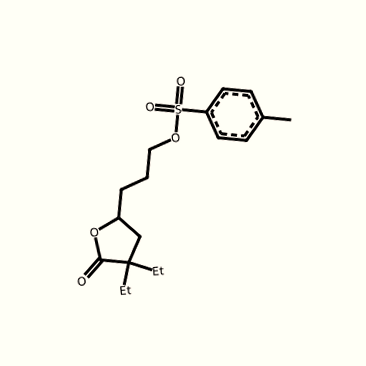 CCC1(CC)CC(CCCOS(=O)(=O)c2ccc(C)cc2)OC1=O